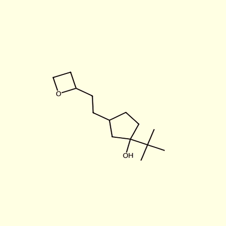 CC(C)(C)C1(O)CCC(CCC2CCO2)C1